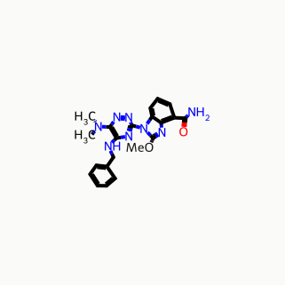 COc1nc2c(C(N)=O)cccc2n1-c1nnc(N(C)C)c(NCc2ccccc2)n1